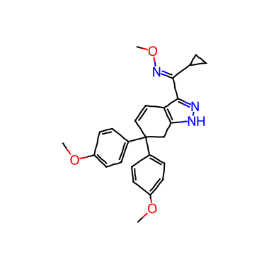 CON=C(c1n[nH]c2c1C=CC(c1ccc(OC)cc1)(c1ccc(OC)cc1)C2)C1CC1